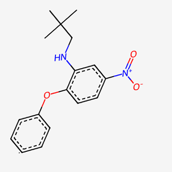 CC(C)(C)CNc1cc([N+](=O)[O-])ccc1Oc1cc[c]cc1